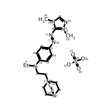 CCN(CC[N+]12CCN(CC1)CC2)c1ccc(/N=N/c2n(C)cn[n+]2C)cc1.O=S(=O)([O-])[O-]